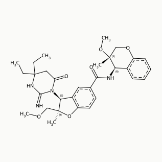 CCC1(CC)CC(=O)N([C@H]2c3cc(C(=O)N[C@@H]4c5ccccc5OC[C@@]4(C)OC)ccc3O[C@@]2(C)COC)C(=N)N1